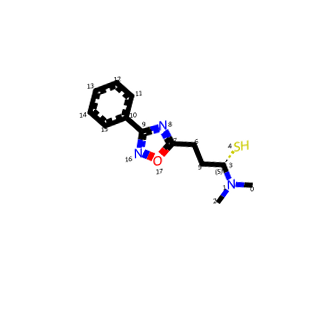 CN(C)[C@@H](S)CCc1nc(-c2ccccc2)no1